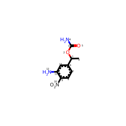 CC(OC(N)=O)c1ccc([N+](=O)[O-])c(N)c1